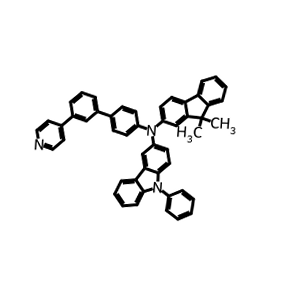 CC1(C)c2ccccc2-c2ccc(N(c3ccc(-c4cccc(-c5ccncc5)c4)cc3)c3ccc4c(c3)c3ccccc3n4-c3ccccc3)cc21